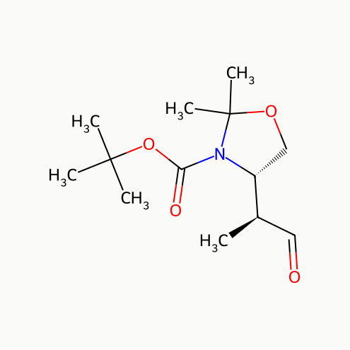 C[C@H](C=O)[C@H]1COC(C)(C)N1C(=O)OC(C)(C)C